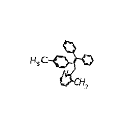 Cc1ccc(C(Cc2ncccc2C)=C(c2ccccc2)c2ccccc2)cc1